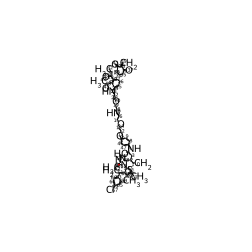 C=CC(CC(O)Nc1ccc(OCCOCCNCCOCCNC2=CCCC(C(=O)C(C)[C@H]3CCC(=O)C(=C)C3=O)=C2C(C)=O)cc1)c1nnc(C)n1C1SC(C)=C(C)C1C(=C)c1ccc(Cl)cc1